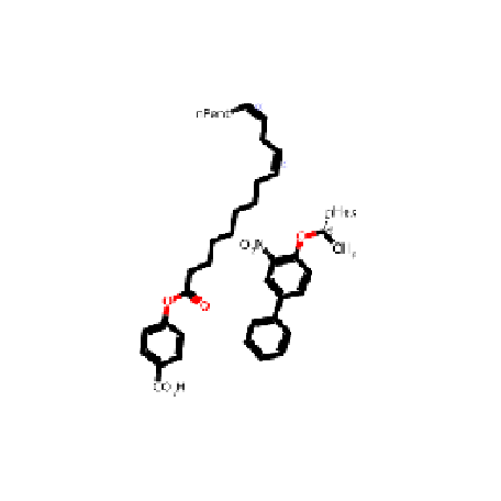 CCCCC/C=C\C/C=C\CCCCCCCC(=O)Oc1ccc(C(=O)O)cc1.CCCCCC[C@H](C)Oc1ccc(-c2ccccc2)cc1[N+](=O)[O-]